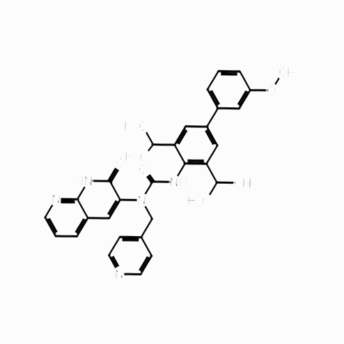 COc1cccc(-c2cc(C(C)C)c(NC(=O)N(Cc3ccncc3)c3cc4cccnc4[nH]c3=O)c(C(C)C)c2)c1